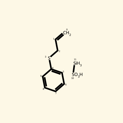 C=CCSc1ccccc1.O=S(=O)(O)[SiH3]